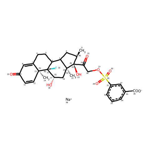 C[C@@H]1CC2C3CCC4=CC(=O)C=C[C@]4(C)[C@@]3(F)[C@@H](O)C[C@]2(C)[C@@]1(O)C(=O)COS(=O)(=O)c1cccc(C(=O)[O-])c1.[Na+]